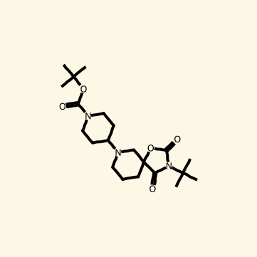 CC(C)(C)OC(=O)N1CCC(N2CCCC3(C2)OC(=O)N(C(C)(C)C)C3=O)CC1